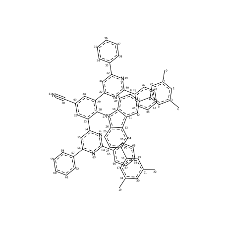 Cc1cc(C)cc(-c2ccc3c(c2)c2cc(-c4cc(C)cc(C)c4)ccc2n3-c2c(-c3cc(-c4ccccc4)nc(-c4ccccc4)n3)cc(C#N)cc2-c2cc(-c3ccccc3)nc(-c3ccccc3)n2)c1